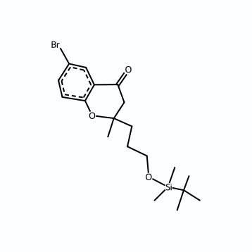 CC1(CCCO[Si](C)(C)C(C)(C)C)CC(=O)c2cc(Br)ccc2O1